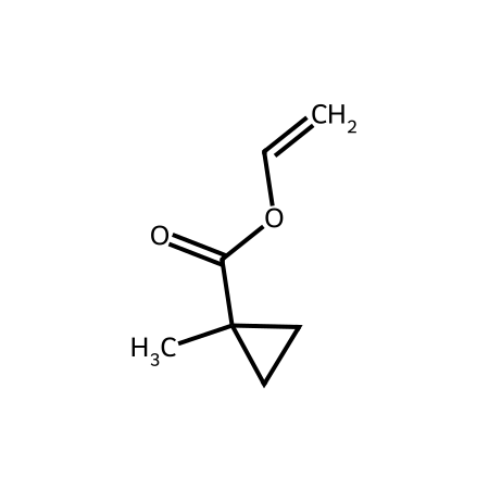 C=COC(=O)C1(C)CC1